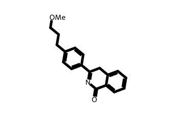 COCCCc1ccc(C2=NC(=O)c3ccccc3C2)cc1